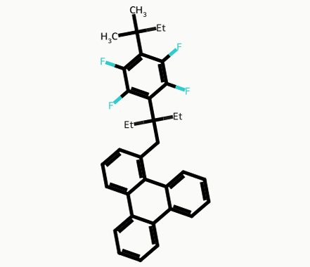 CCC(C)(C)c1c(F)c(F)c(C(CC)(CC)Cc2cccc3c4ccccc4c4ccccc4c23)c(F)c1F